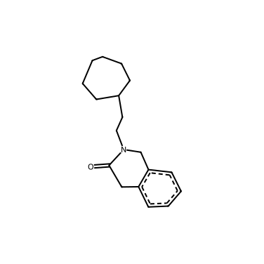 O=C1Cc2ccccc2CN1CCC1CCCCCC1